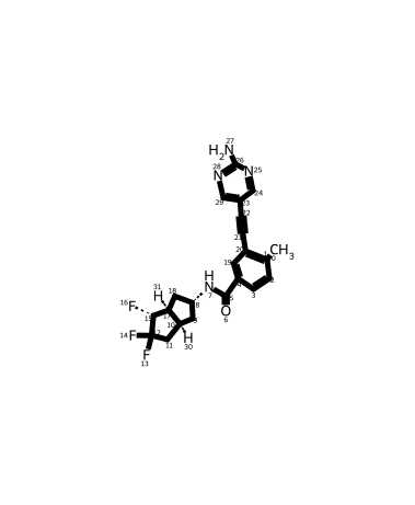 Cc1ccc(C(=O)N[C@@H]2C[C@H]3CC(F)(F)[C@H](F)[C@H]3C2)cc1C#Cc1cnc(N)nc1